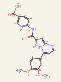 COc1ccc(-c2ccnc3cc(C(=O)Nc4ccc(C(=O)O)cn4)nn23)cc1OC